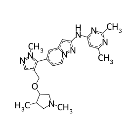 Cc1cc(Nc2cc3cc(-c4c(COC5CN(C)CC5C)cnn4C)ccn3n2)nc(C)n1